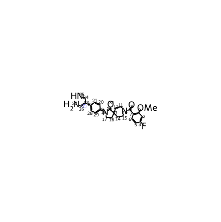 COc1cc(F)ccc1C(=O)N1CCC2(CC1)CCN(c1ccc(/C(C=N)=C/N)cc1)C2=O